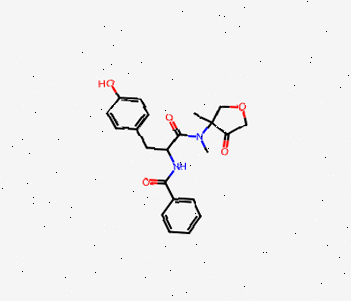 CN(C(=O)C(Cc1ccc(O)cc1)NC(=O)c1ccccc1)C1(C)COCC1=O